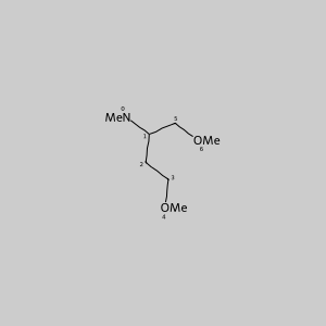 CNC(CCOC)COC